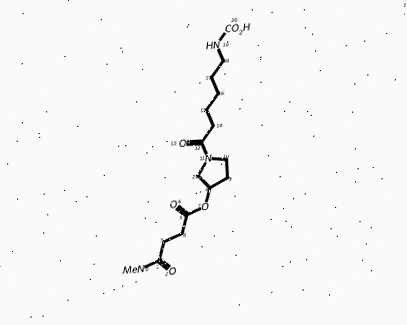 CNC(=O)CCC(=O)OC1CCN(C(=O)CCCCCNC(=O)O)C1